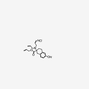 C=CCOC(=O)C1(N(CC=C)CC=C)CCc2cc(O)ccc2C1.Cl